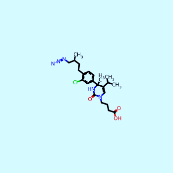 CC(CCc1ccc(C2(C)NC(=O)N(CCCC(=O)O)C=C2C(C)C)cc1Cl)CN=[N+]=[N-]